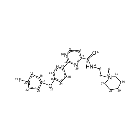 C[N+]1(CCNC(=O)c2ccnc(-c3ccc(Oc4ccc(F)cc4)cc3)n2)CCCCC1